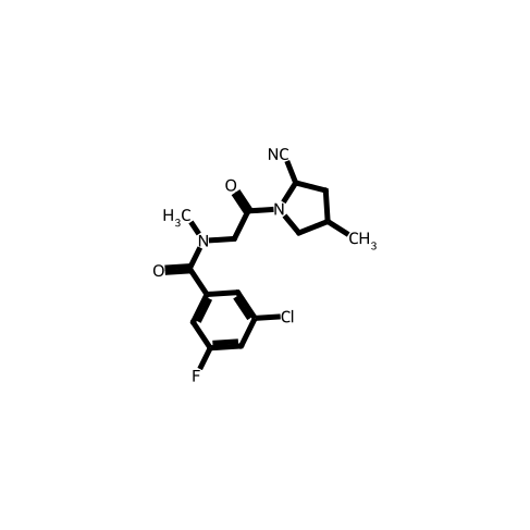 CC1CC(C#N)N(C(=O)CN(C)C(=O)c2cc(F)cc(Cl)c2)C1